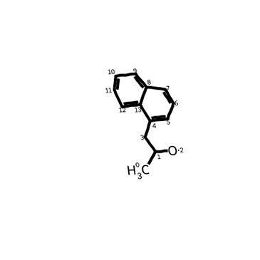 CC([O])Cc1cccc2ccccc12